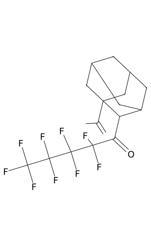 C=C(C)C12CC3CC(CC(C3)C1C(=O)C(F)(F)C(F)(F)C(F)(F)C(F)(F)F)C2